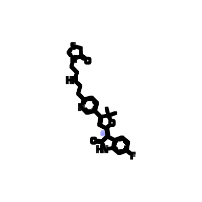 CC1(C)O/C(=C2/C(=O)Nc3cc(F)ccc32)C=C1c1ccc(CCNCCN2CSCC2=O)nc1